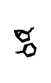 [CH]c1ccc2cc1-2.[CH]c1ccccc1